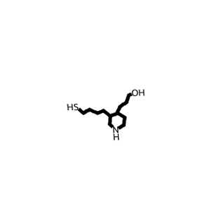 OCCCC1CCNCC1CCCCS